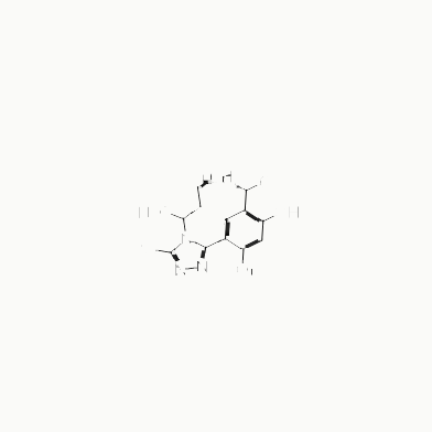 C=CCC(C)n1c(O)nnc1-c1cc(C(C)C)c(O)cc1O